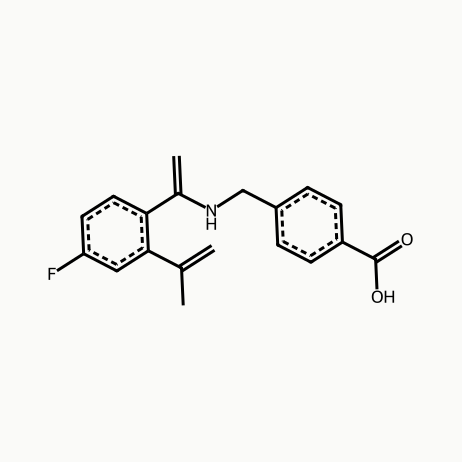 C=C(C)c1cc(F)ccc1C(=C)NCc1ccc(C(=O)O)cc1